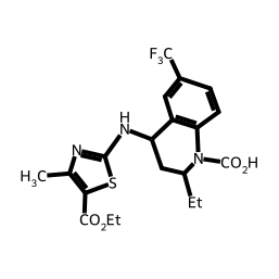 CCOC(=O)c1sc(NC2CC(CC)N(C(=O)O)c3ccc(C(F)(F)F)cc32)nc1C